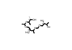 CC(OC[C@@H](O)C(C)OCOC[C@H](O)C(C)O)OC(C)[C@H](C)O